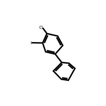 Clc1ccc(-c2ccccc2)cc1I